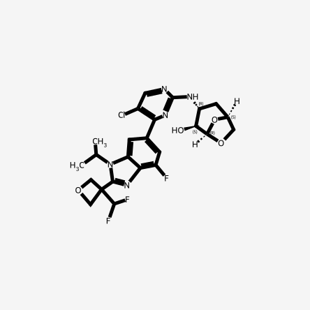 CC(C)n1c(C2(C(F)F)COC2)nc2c(F)cc(-c3nc(N[C@@H]4C[C@H]5CO[C@H](O5)[C@H]4O)ncc3Cl)cc21